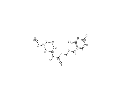 CN(C(=O)CCCOc1ccc(Cl)cc1Cl)C1CCCC(CO)C1